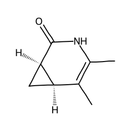 CC1=C(C)[C@H]2C[C@H]2C(=O)N1